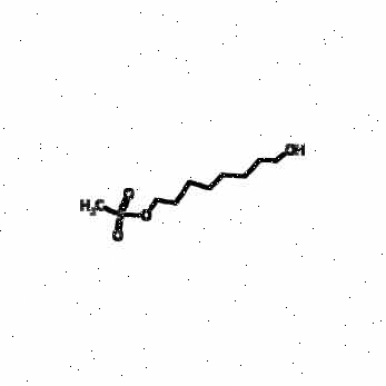 CS(=O)(=O)OCCCCCCCCO